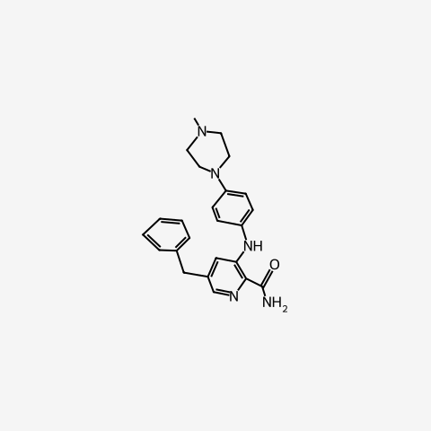 CN1CCN(c2ccc(Nc3cc(Cc4ccccc4)cnc3C(N)=O)cc2)CC1